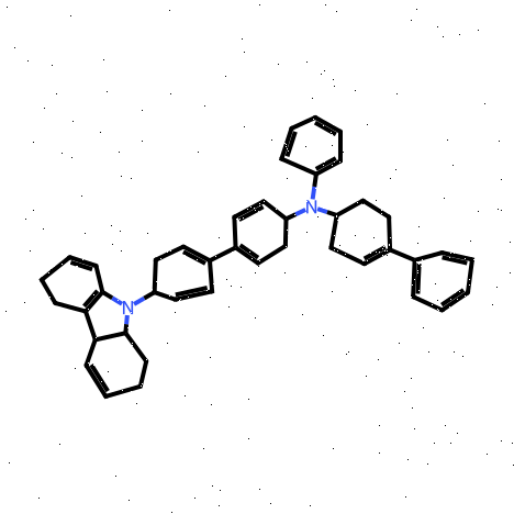 C1=CC2=C(CC1)C1C=CCCC1N2C1C=CC(C2=CCC(N(c3ccccc3)C3CC=C(c4ccccc4)CC3)C=C2)=CC1